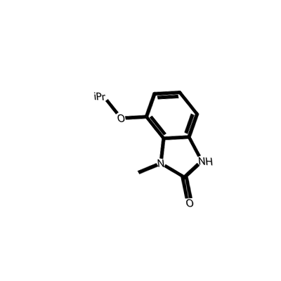 CC(C)Oc1cccc2[nH]c(=O)n(C)c12